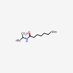 CCCCCCCCCCCCCCCC(=O)NC(CCCC)C(=O)O